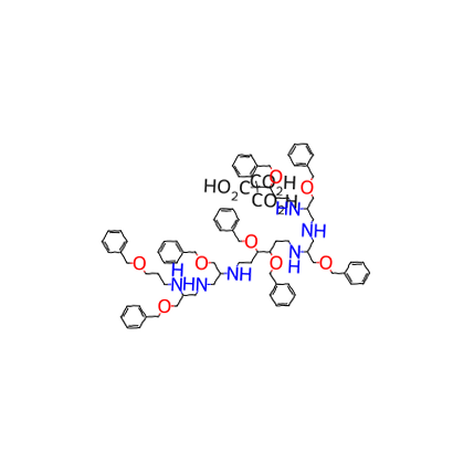 O=C(O)C(C(=O)O)(C(=O)O)C(CCNC(CNCC(COCc1ccccc1)NCCC(OCc1ccccc1)C(CCNC(CNCC(COCc1ccccc1)NCCCOCc1ccccc1)COCc1ccccc1)OCc1ccccc1)COCc1ccccc1)OCc1ccccc1